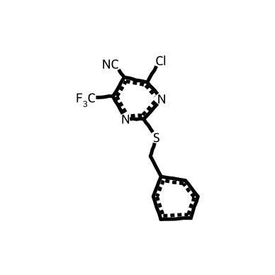 N#Cc1c(Cl)nc(SCc2ccccc2)nc1C(F)(F)F